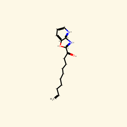 C=CCCCCCCCC(=O)c1nc2ncccc2o1